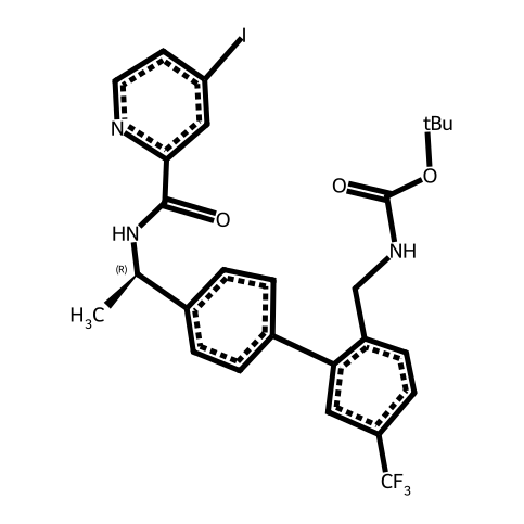 C[C@@H](NC(=O)c1cc(I)ccn1)c1ccc(-c2cc(C(F)(F)F)ccc2CNC(=O)OC(C)(C)C)cc1